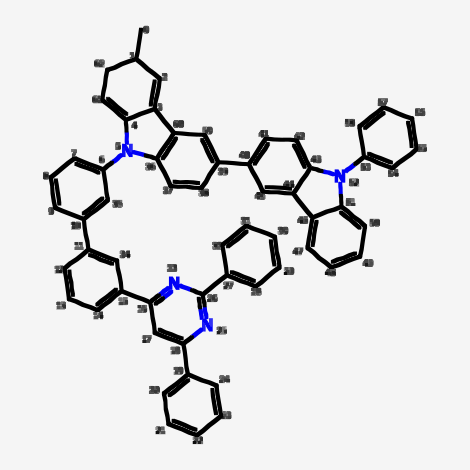 CC1C=c2c(n(-c3cccc(-c4cccc(-c5cc(-c6ccccc6)nc(-c6ccccc6)n5)c4)c3)c3ccc(-c4ccc5c(c4)c4ccccc4n5-c4ccccc4)cc23)=CC1